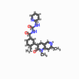 Cc1cc2c(cn1)cc(-c1cc(C(=O)NC(=O)Nc3ccccn3)ccc1C)c(=O)n2C